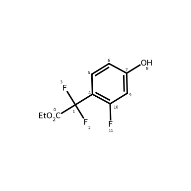 CCOC(=O)C(F)(F)c1ccc(O)cc1F